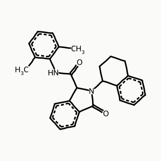 Cc1cccc(C)c1NC(=O)C1c2ccccc2C(=O)N1C1CCCc2ccccc21